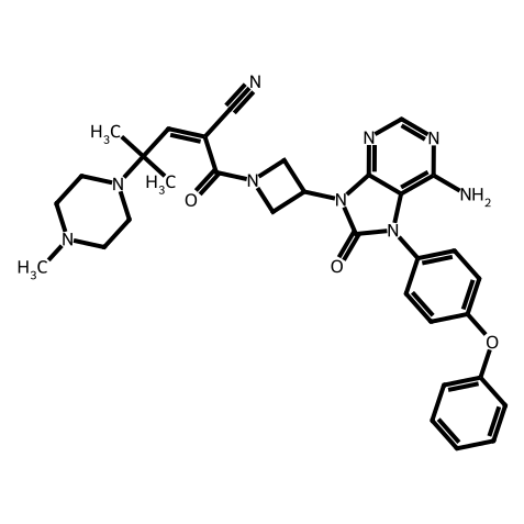 CN1CCN(C(C)(C)/C=C(/C#N)C(=O)N2CC(n3c(=O)n(-c4ccc(Oc5ccccc5)cc4)c4c(N)ncnc43)C2)CC1